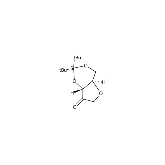 CC(C)(C)[Si]1(C(C)(C)C)OC[C@H]2OCC(=O)[C@@H]2O1